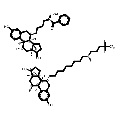 CCCCCN(CCCC[C@@H]1Cc2cc(O)ccc2[C@@H]2[C@@H]1[C@@H]1CCC(O)[C@@]1(C)C[C@@H]2F)C(=O)c1ccccc1.C[C@]12C[C@H](F)[C@@H]3c4ccc(O)cc4C[C@@H](CCCCCCCCC[S+]([O-])CCCC(F)(F)C(F)(F)F)[C@H]3[C@@H]1CC[C@@H]2O